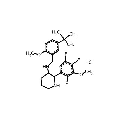 COc1ccc(C(C)(C)C)cc1CNC1CCCNC1c1cc(F)c(F)c(OC)c1F.Cl